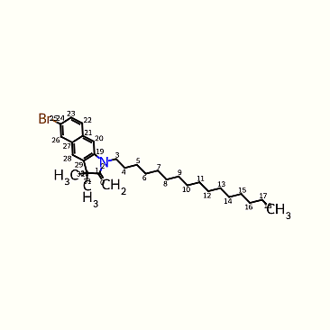 C=C1N(CCCCCCCCCCCCCCCC)c2cc3ccc(Br)cc3cc2C1(C)C